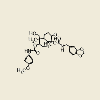 COc1ccc(NC(=O)OC2CCC3(C)C(CC(=O)NCc4ccc5c(c4)OCO5)C(O)CCC3C2(C)CO)cc1